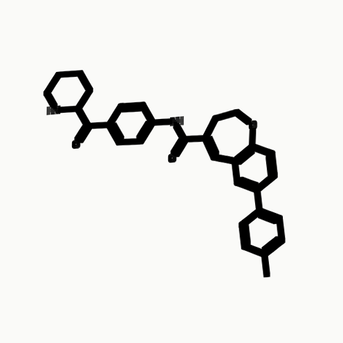 Cc1ccc(-c2ccc3c(c2)C=C(C(=O)Nc2ccc(C(=O)C4CCCCN4)cc2)CCO3)cc1